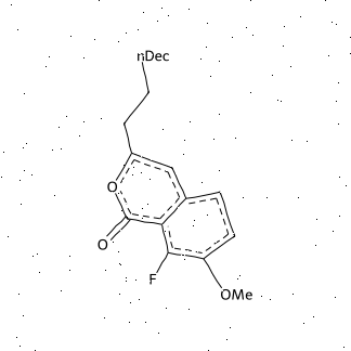 CCCCCCCCCCCCc1cc2ccc(OC)c(F)c2c(=O)o1